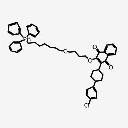 O=C1C(OCCCCCCCCCCCC[PH](c2ccccc2)(c2ccccc2)c2ccccc2)=C(C2CCC(c3ccc(Cl)cc3)CC2)C(=O)c2ccccc21